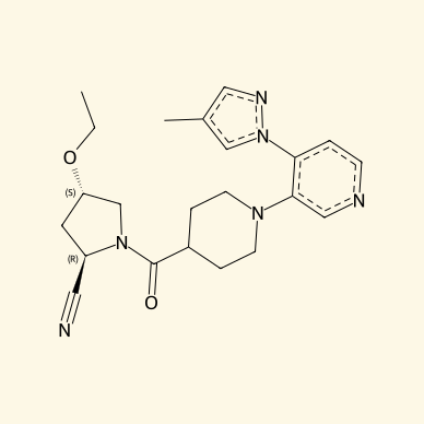 CCO[C@H]1C[C@H](C#N)N(C(=O)C2CCN(c3cnccc3-n3cc(C)cn3)CC2)C1